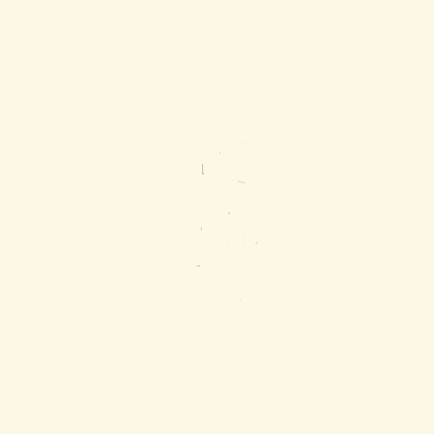 [2H]C([2H])(COS(=O)(=O)c1ccc(C)cc1)c1cccs1